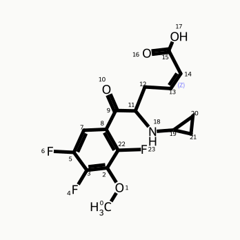 COc1c(F)c(F)cc(C(=O)C(C/C=C\C(=O)O)NC2CC2)c1F